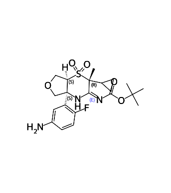 CC(C)(C)OC(=O)/N=C1/N[C@@]2(c3cc(N)ccc3F)COC[C@H]2S(=O)(=O)[C@]1(C)C1CC1